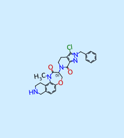 CN1C(=O)[C@@H](N2CCc3c(nn(Cc4ccccc4)c3Cl)C2=O)COc2ccc3c(c21)CCNC3